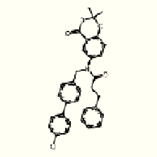 CC1(C)OC(=O)c2cc(N(Cc3ccc(-c4ccc(Cl)cc4)cc3)C(=O)CCc3ccccc3)ccc2O1